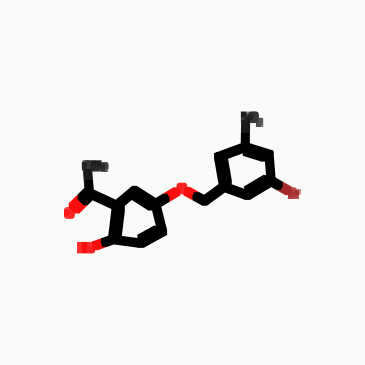 COC(=O)c1cc(OCc2cc(Br)cc([N+](=O)[O-])c2)ccc1O